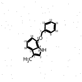 Cc1c[nH]c2c(OCc3ccccc3)cccc12